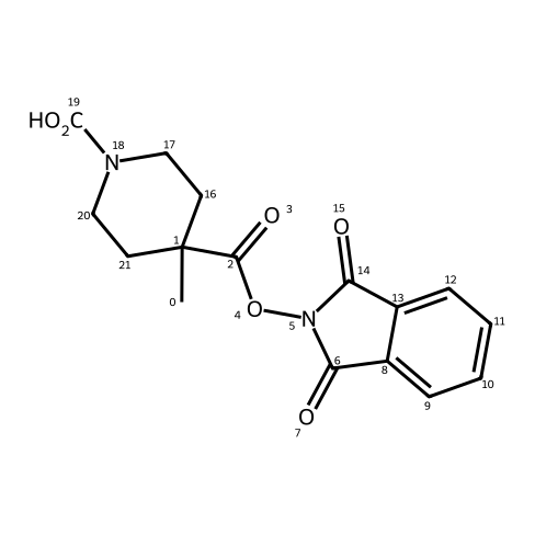 CC1(C(=O)ON2C(=O)c3ccccc3C2=O)CCN(C(=O)O)CC1